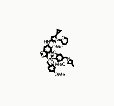 COc1ccc(CN(c2noc3cc(Nc4cc(C5CC5)n(C5CCCCO5)n4)c(OC)cc23)S(=O)(=O)c2c(OC)cc(CN3CC(C)C3)cc2OC)cc1